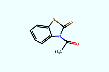 CC(=O)n1c(=S)sc2ccccc21